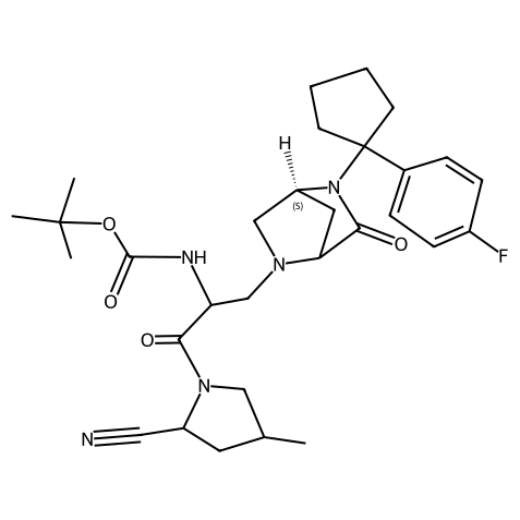 CC1CC(C#N)N(C(=O)C(CN2C[C@@H]3CC2C(=O)N3C2(c3ccc(F)cc3)CCCC2)NC(=O)OC(C)(C)C)C1